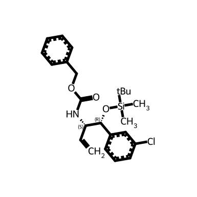 C=C[C@H](NC(=O)OCc1ccccc1)[C@H](O[Si](C)(C)C(C)(C)C)c1cccc(Cl)c1